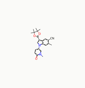 Cc1cc2c(cc1C#N)c(B1OC(C)(C)C(C)(C)O1)cn2-c1ccc(=O)n(C)c1